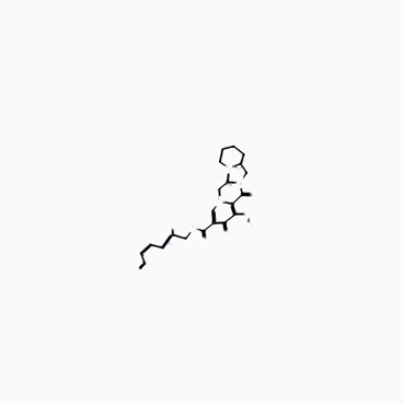 C=C/C=C\C=C(/C)CNC(=O)c1cn2c(c(OP)c1=O)C(=O)N1C[C@@H]3CCCCN3[C@@H]1C2